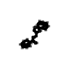 O=C(OCC1COC2(O1)C1CC3CC(C1)CC2C3)C12CC3CC(C1)C(C3)C2